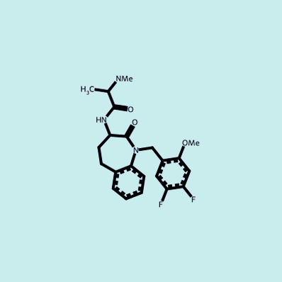 CNC(C)C(=O)NC1CCc2ccccc2N(Cc2cc(F)c(F)cc2OC)C1=O